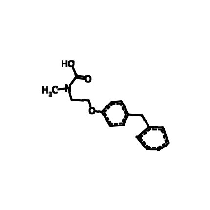 CN(CCOc1ccc(Cc2ccccc2)cc1)C(=O)O